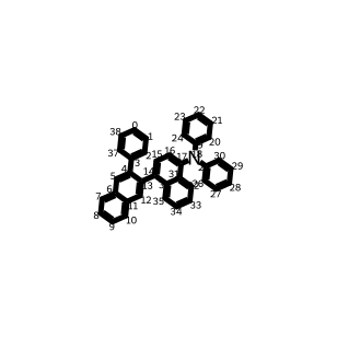 c1ccc(-c2cc3ccccc3cc2-c2ccc(N(c3ccccc3)c3ccccc3)c3ccccc23)cc1